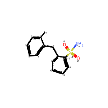 Cc1ccccc1Cc1ccccc1S(N)(=O)=O